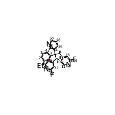 CCc1ccc2c(c1)C(Cc1ccnc(F)c1)(Cc1ccnc(F)c1)c1cccnc1-2